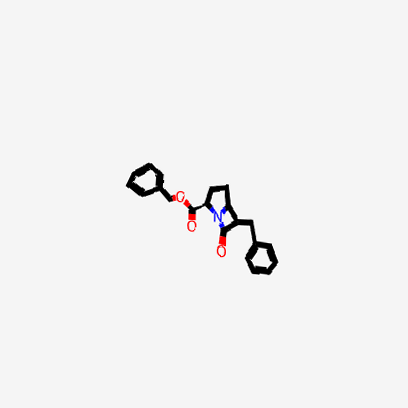 O=C(OCc1ccccc1)[C@H]1CCC2C(Cc3ccccc3)C(=O)N21